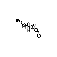 CCC(C)CCc1nnc(C(=O)NC2CC(=O)N(c3ccc(CN4CCCCC4)cc3)C2)s1